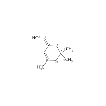 CC1=C/C(=C\C#N)CC(C)(C)C1